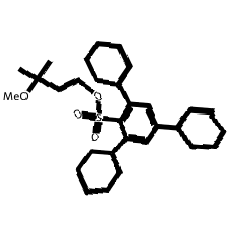 COC(C)(C)CCOS(=O)(=O)c1c(C2CCCCC2)cc(C2CCCCC2)cc1C1CCCCC1